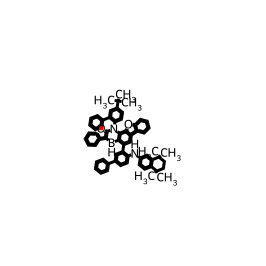 CC(C)(C)c1ccc(N2c3oc4ccccc4c3Bc3c(-c4cc(-c5ccccc5)ccc4Nc4ccc5c(c4)C(C)(C)CCC5(C)C)cc4c(oc5ccccc54)c32)c(-c2ccccc2)c1